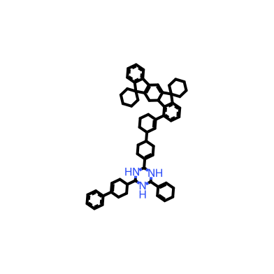 C1=CC(C2NC(C3=CCC(C4C=C(c5cccc6c5C5CC7=C(C=C5C65CCCCC5)c5ccccc5C75CCCCC5)CCC4)CC3)NC(C3CC=C(c4ccccc4)CC3)N2)=CCC1